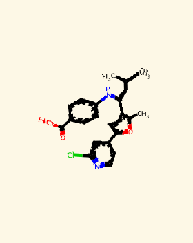 Cc1oc(-c2ccnc(Cl)c2)cc1C(CC(C)C)Nc1ccc(C(=O)O)cc1